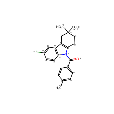 Cc1ccc(C(=O)n2c3c(c4cc(F)ccc42)CC(C(=O)O)(C(=O)O)CC3)cc1